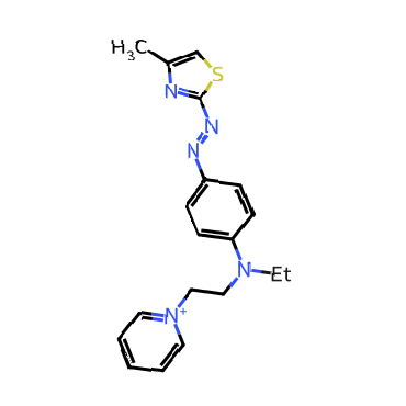 CCN(CC[n+]1ccccc1)c1ccc(N=Nc2nc(C)cs2)cc1